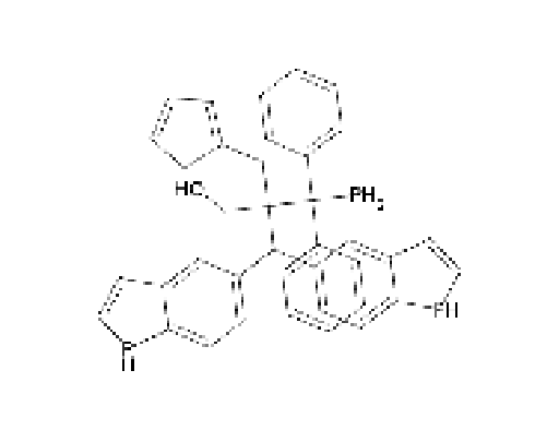 OCC(CC1=CC=CC1)(C(c1ccc2[pH]ccc2c1)c1ccc2[pH]ccc2c1)C(P)(c1ccccc1)c1ccccc1